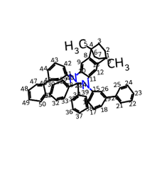 CC12CCC(C)(CC1)c1cc3c(cc12)N(c1cccc(-c2ccccc2)c1)C(c1ccccc1)(c1ccccc1)N3c1cccc(-c2ccccc2)c1